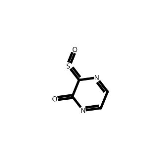 O=S=C1N=CC=NC1=O